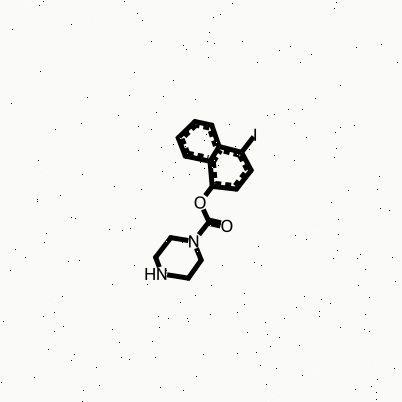 O=C(Oc1ccc(I)c2ccccc12)N1CCNCC1